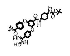 CN(C)C(=O)c1ccc(Oc2cc(Oc3ccc(C(=N)NO)cc3)cc(C(=O)NC3CCC(NC(=O)OC(C)(C)C)CC3)c2)cc1